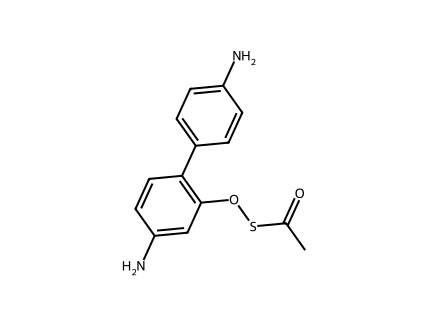 CC(=O)SOc1cc(N)ccc1-c1ccc(N)cc1